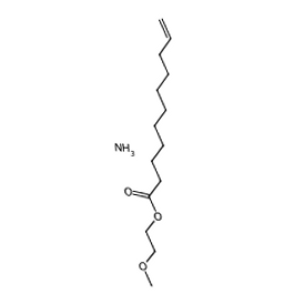 C=CCCCCCCCCC(=O)OCCOC.N